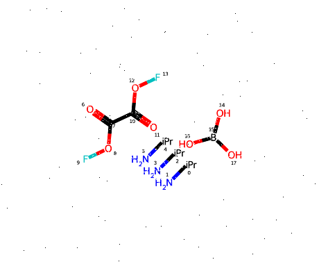 CC(C)N.CC(C)N.CC(C)N.O=C(OF)C(=O)OF.OB(O)O